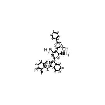 Cc1nc(-c2ccccc2)sc1-c1c(N)nc(-n2nc(Cc3c(F)ccc(F)c3F)c3ccccc32)nc1N